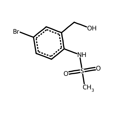 CS(=O)(=O)Nc1ccc(Br)cc1CO